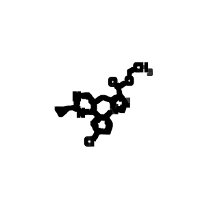 CCOC(=O)c1ncn2c1Cc1cnc(C3CC3)nc1-c1cc(Cl)ccc1-2